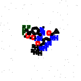 [2H]C([2H])([2H])NC(=O)c1nnc(NC(=O)C2CC2)cc1Nc1nn(C)c2ccc([C@@H](OC)C(F)(F)F)c(OC)c12